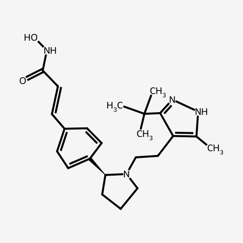 Cc1[nH]nc(C(C)(C)C)c1CCN1CCC[C@H]1c1ccc(/C=C/C(=O)NO)cc1